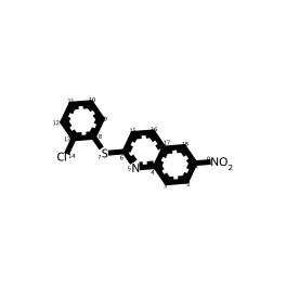 O=[N+]([O-])c1ccc2nc(Sc3ccccc3Cl)ccc2c1